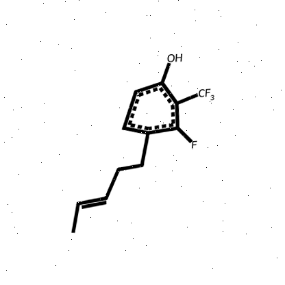 C/C=C/CCc1ccc(O)c(C(F)(F)F)c1F